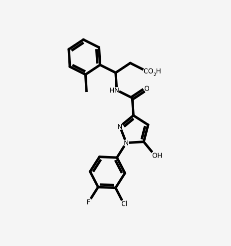 Cc1ccccc1C(CC(=O)O)NC(=O)c1cc(O)n(-c2ccc(F)c(Cl)c2)n1